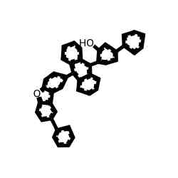 Oc1cc(-c2ccccc2)ccc1-c1c2ccccc2c(-c2ccc3oc4ccc(-c5ccccc5)cc4c3c2)c2ccccc12